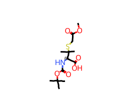 COC(=O)CSC(C)(C)[C@H](NC(=O)OC(C)(C)C)C(=O)O